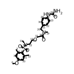 COc1cc(C)c(S(=O)(=O)N(C)CCOCC(=O)N(C)Cc2ccc(NC(N)=O)cc2)c(C)c1